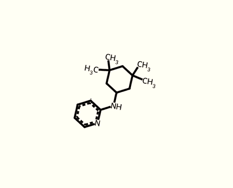 CC1(C)CC(Nc2[c]cccn2)CC(C)(C)C1